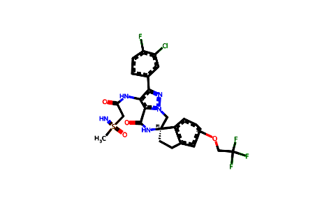 CS(=N)(=O)CC(=O)Nc1c(-c2ccc(F)c(Cl)c2)nn2c1C(=O)N[C@@]1(CCc3cc(OCC(F)(F)F)ccc31)C2